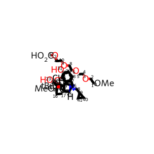 COCCOCCOCCOCCOC(=O)O.CO[C@@]12CC[C@@]3(C[C@@H]1[C@](C)(O)C(C)(C)C)[C@H]1Cc4ccc(O)c5c4[C@@]3(CCN1CC1CC1)[C@H]2O5